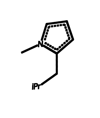 CC(C)Cc1cccn1C